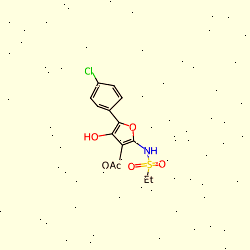 CCS(=O)(=O)Nc1oc(-c2ccc(Cl)cc2)c(O)c1OC(C)=O